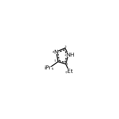 [CH2]Cc1[nH]cnc1C(C)C